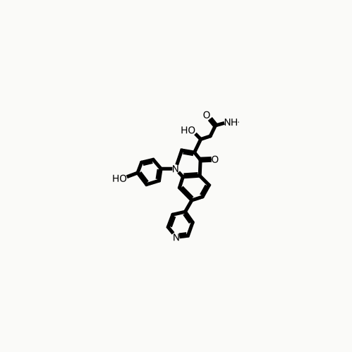 [NH]C(=O)CC(O)c1cn(-c2ccc(O)cc2)c2cc(-c3ccncc3)ccc2c1=O